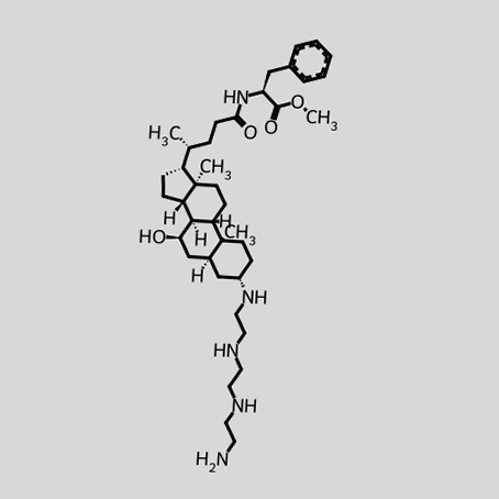 COC(=O)[C@H](Cc1ccccc1)NC(=O)CC[C@@H](C)[C@H]1CC[C@H]2[C@@H]3[C@H](O)C[C@@H]4C[C@@H](NCCNCCNCCN)CC[C@]4(C)[C@H]3CC[C@]12C